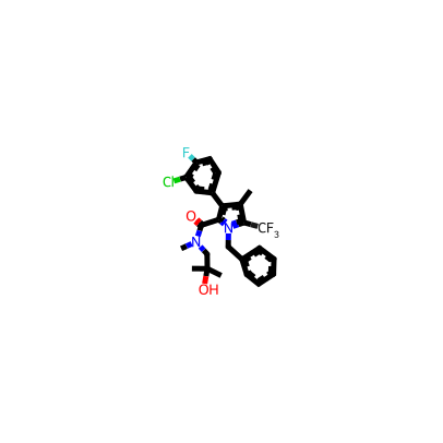 Cc1c(-c2ccc(F)c(Cl)c2)c(C(=O)N(C)CC(C)(C)O)n(Cc2ccccc2)c1C(F)(F)F